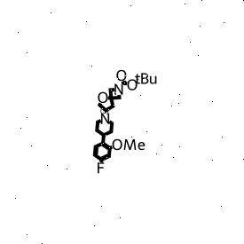 COc1cc(F)ccc1C1CCN([C@@H]2COC3(C2)CN(C(=O)OC(C)(C)C)C3)CC1